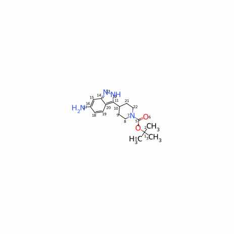 CC(C)(C)OC(=O)N1CCC(c2[nH]nc3cc(N)ccc23)CC1